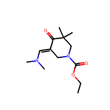 CCOC(=O)N1C/C(=C\N(C)C)C(=O)C(C)(C)C1